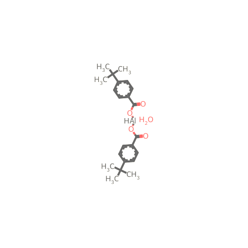 CC(C)(C)c1ccc(C(=O)[O][AlH][O]C(=O)c2ccc(C(C)(C)C)cc2)cc1.O